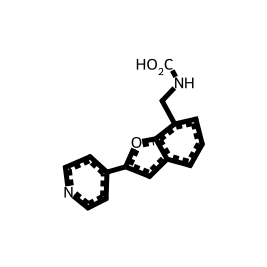 O=C(O)NCc1cccc2cc(-c3ccncc3)oc12